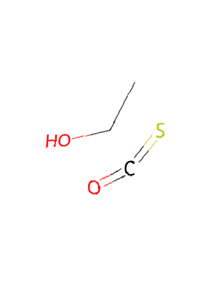 CCO.O=C=S